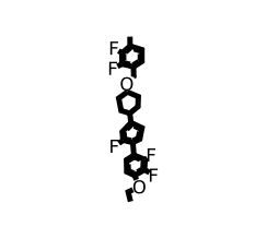 CCOc1ccc(-c2ccc(C3CCC(OCc4ccc(C)c(F)c4F)CC3)cc2F)c(F)c1F